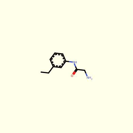 CCc1cccc(NC(=O)CN)c1